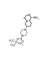 CC(C)(C)OC(=O)N1CCN(c2ccc3c(N)ncnc3c2)CC1